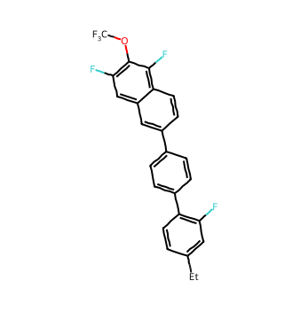 CCc1ccc(-c2ccc(-c3ccc4c(F)c(OC(F)(F)F)c(F)cc4c3)cc2)c(F)c1